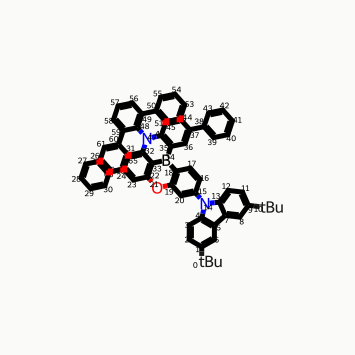 CC(C)(C)c1ccc2c(c1)c1cc(C(C)(C)C)ccc1n2-c1ccc2c(c1)Oc1cc(-c3ccccc3)cc3c1B2c1cc(-c2ccccc2)ccc1N3c1c(-c2ccccc2)cccc1-c1ccccc1